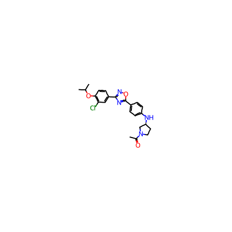 CC(=O)N1CC[C@H](Nc2ccc(-c3nc(-c4ccc(OC(C)C)c(Cl)c4)no3)cc2)C1